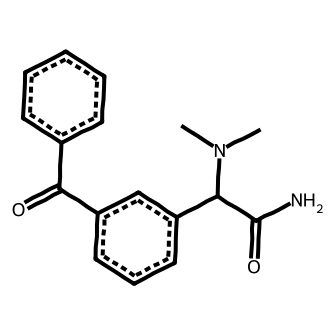 CN(C)C(C(N)=O)c1cccc(C(=O)c2ccccc2)c1